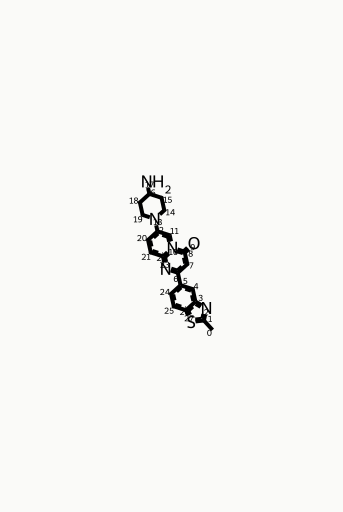 Cc1nc2cc(-c3cc(=O)n4cc(N5CCC(N)CC5)ccc4n3)ccc2s1